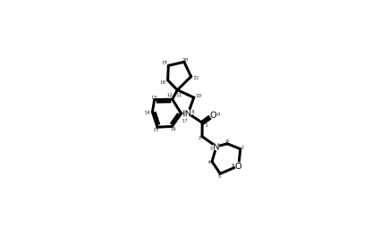 O=C(CN1CCOCC1)NCC1(c2ccccc2)CCCC1